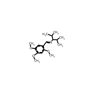 COc1cc(OC)c(OC)cc1/C=N/C(C(C)C)C(C)C